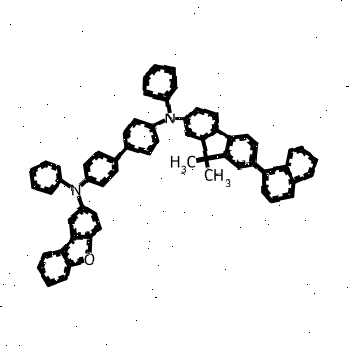 CC1(C)c2cc(-c3cccc4ccccc34)ccc2-c2ccc(N(c3ccccc3)c3ccc(-c4ccc(N(c5ccccc5)c5ccc6oc7ccccc7c6c5)cc4)cc3)cc21